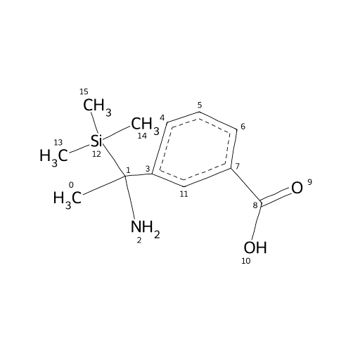 CC(N)(c1cccc(C(=O)O)c1)[Si](C)(C)C